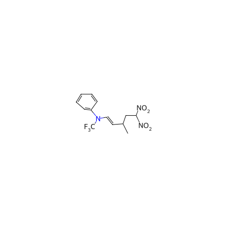 CC(C=CN(c1ccccc1)C(F)(F)F)CC([N+](=O)[O-])[N+](=O)[O-]